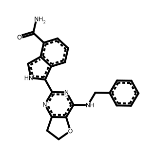 NC(=O)c1cccc2c(-c3nc4c(c(NCc5ccccc5)n3)OCC4)[nH]cc12